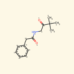 CC(C)(C)C(=O)CNC(=O)Cc1ccccc1